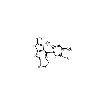 CC1=Cc2c(cc3c(c2-c2cc(C)c(C)cc2C)CCC3)[CH]1